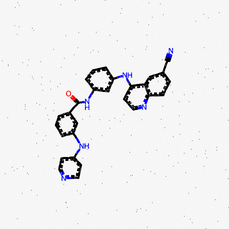 N#Cc1ccc2nccc(Nc3cccc(NC(=O)c4cccc(Nc5ccncc5)c4)c3)c2c1